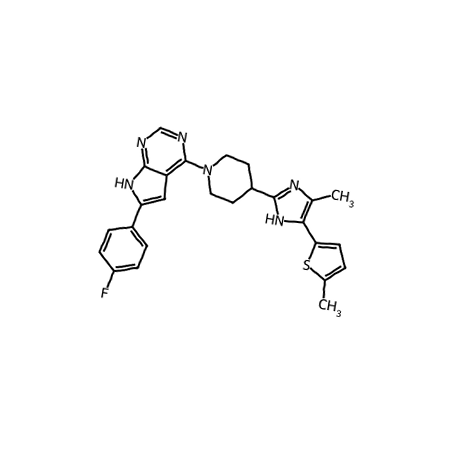 Cc1ccc(-c2[nH]c(C3CCN(c4ncnc5[nH]c(-c6ccc(F)cc6)cc45)CC3)nc2C)s1